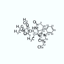 CC=C(CC)C1NC(=O)CCC12C(=O)N(CCCCl)c1ccccc12.COC(C)[Si](C)(C)C